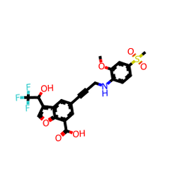 COc1cc(S(C)(=O)=O)ccc1NCC#Cc1cc(C(=O)O)c2occ(C(O)C(F)(F)F)c2c1